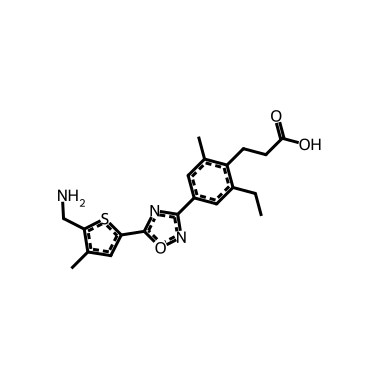 CCc1cc(-c2noc(-c3cc(C)c(CN)s3)n2)cc(C)c1CCC(=O)O